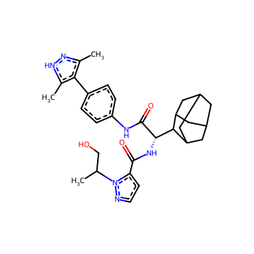 Cc1n[nH]c(C)c1-c1ccc(NC(=O)[C@@H](NC(=O)c2ccnn2C(C)CO)C2C3CC4CC(C3)CC2C4)cc1